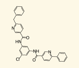 O=C(Nc1cc(Cl)cc(NC(=O)c2ccc(-c3ccccc3)nc2)c1)c1ccc(Cc2ccccc2)nc1